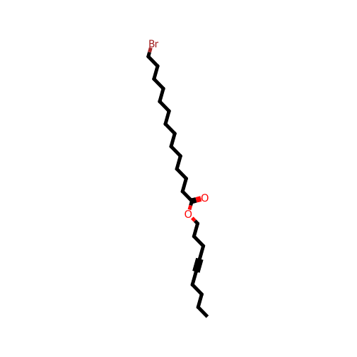 CCCCC#CCCCOC(=O)CCCCCCCCCCCCCBr